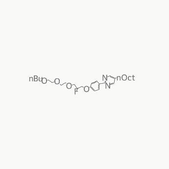 CCCCCCCCc1cnc(-c2ccc(OCC(F)COCCOCCOCCCC)cc2)nc1